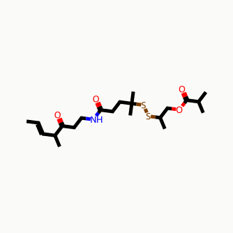 CC=CC(C)C(=O)CCNC(=O)CCC(C)(C)SSC(C)COC(=O)C(C)C